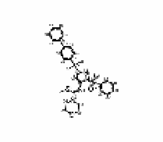 CSC(=Nc1nc(C(C)(C)c2ccc(-c3ccccc3)cc2)nn1S(=O)(=O)c1ccccc1)N1CCOCC1